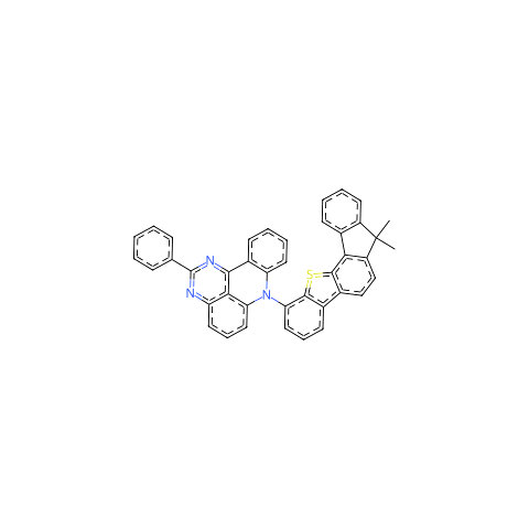 CC1(C)c2ccccc2-c2c1ccc1c2sc2c(N3c4ccccc4-c4nc(-c5ccccc5)nc5cccc3c45)cccc21